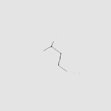 CCCC(C)CCC(C(=O)O)C(C)CCC